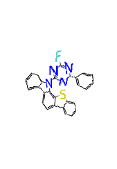 Fc1nc(-c2ccccc2)nc(-n2c3ccccc3c3ccc4c5ccccc5sc4c32)n1